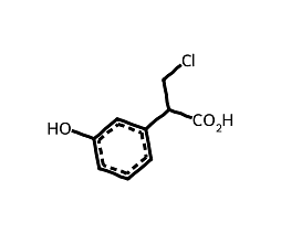 O=C(O)C(CCl)c1cccc(O)c1